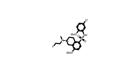 COc1ccc(Cl)cc1NS(=O)(=O)c1ccc(OC)c2c1CC[C@H](N(C)CCF)C2